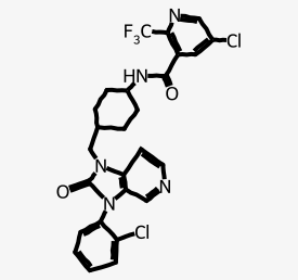 O=C(NC1CCC(Cn2c(=O)n(-c3ccccc3Cl)c3cnccc32)CC1)c1cc(Cl)cnc1C(F)(F)F